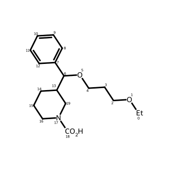 CCOCCCOC(c1ccccc1)C1CCCN(C(=O)O)C1